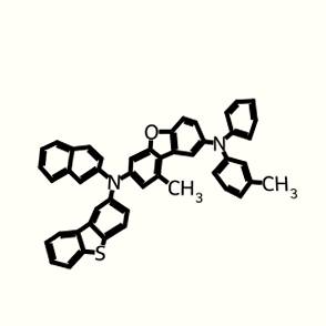 Cc1cccc(N(c2ccccc2)c2ccc3oc4cc(N(c5ccc6ccccc6c5)c5ccc6sc7ccccc7c6c5)cc(C)c4c3c2)c1